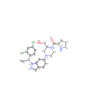 CC(c1ccc(Cl)cc1Cl)n1ncc2ccc(N3CCN(C(=O)C4CCCN4)C(CO)C3)cc21